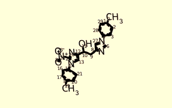 Cc1ccc(-n2cnc(CC(O)c3cn(-c4ccc(C)cc4)c([N+](=O)[O-])n3)c2)cc1